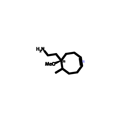 CO[C@@]1(CCN)CC/C=C\CCC1C